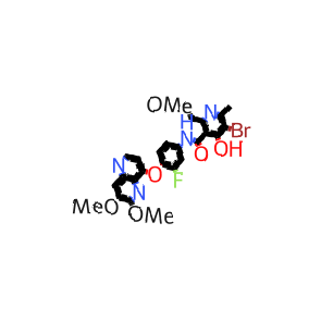 COCc1nc(C)c(Br)c(O)c1C(=O)Nc1ccc(Oc2ccnc3cc(OC)c(OC)nc23)c(F)c1